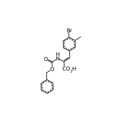 Cc1cc(C=C(NC(=O)OCc2ccccc2)C(=O)O)ccc1Br